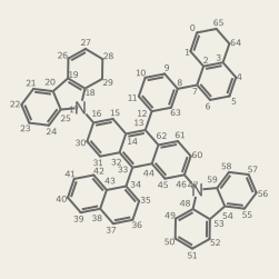 C1=Cc2c(cccc2-c2cccc(-c3c4cc(-n5c6c(c7ccccc75)C=CCC6)ccc4c(-c4cccc5ccccc45)c4cc(-n5c6ccccc6c6ccccc65)ccc34)c2)CC1